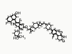 CCc1c(F)ccc2cc(O)cc(-c3ncc4c(N5CCC[C@@](C)(O)C5)nc(OCC5(CN6CCC7(CC6)CC(CN6CCN(c8cc(F)c(C9CCC(=O)NC9=O)c(F)c8)CC6)C7)CC5)nc4c3F)c12